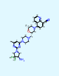 Cc1cc(N2CCN(C[C@H]3CN(c4ccc(C#N)c5ncccc45)C[C@@H](C)O3)CC2)nc(N2CC(N)C(F)(F)C2)n1